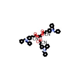 CC(COC(=O)/C(C#N)=C/c1ccc(N(Cc2ccccc2)Cc2ccccc2)cc1)(COC(=O)/C(C#N)=C/c1ccc(N(Cc2ccccc2)Cc2ccccc2)cc1)COC(=O)/C(C#N)=C/c1ccc(N(Cc2ccccc2)Cc2ccccc2)cc1